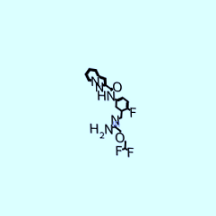 N/C(COCC(F)F)=N/CC1CC(NC(=O)c2cc3ccccn3n2)=CC=C1F